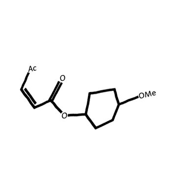 COC1CCC(OC(=O)/C=C\C(C)=O)CC1